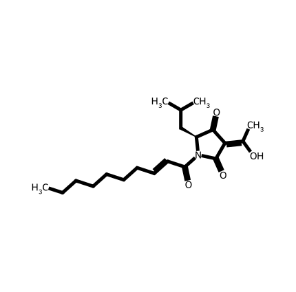 CCCCCCC/C=C/C(=O)N1C(=O)/C(=C(/C)O)C(=O)[C@@H]1CC(C)C